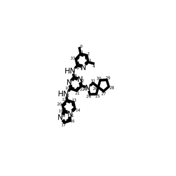 Cc1cc(C)nc(Nc2nc(Nc3ccn4ccnc4c3)cc(N3CCC4(CCCC4)C3)n2)c1